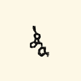 N#Cc1ccc2c(c1)c1c(n2Cc2cccc(F)n2)CCC1